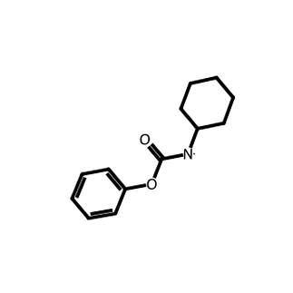 O=C([N]C1CCCCC1)Oc1ccccc1